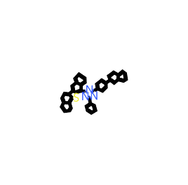 c1ccc(-c2nc(-c3ccc(-c4ccc5ccccc5c4)cc3)nc(-c3c4ccccc4cc4c3sc3c5ccccc5ccc43)n2)cc1